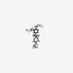 COc1ccc(S(=O)(=O)N2CCN(CCO)CC2)cc1OC